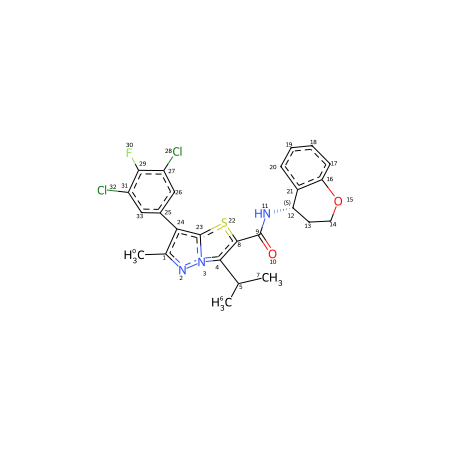 Cc1nn2c(C(C)C)c(C(=O)N[C@H]3CCOc4ccccc43)sc2c1-c1cc(Cl)c(F)c(Cl)c1